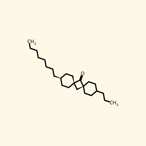 CCCCCCCC[C@H]1CC[C@]2(CC1)C[C@@]1(CCC(CCC)CC1)C2=O